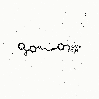 CO[C@@H](Cc1ccc(C#CCCCOc2ccc(C(=O)c3ccccc3)cc2)cc1)C(=O)O